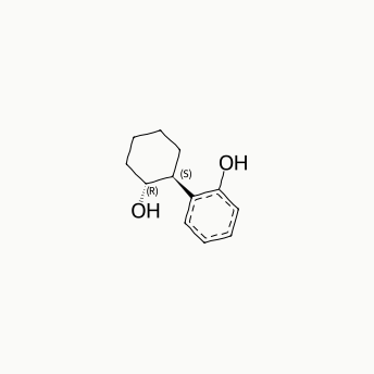 Oc1ccccc1[C@@H]1CCCC[C@H]1O